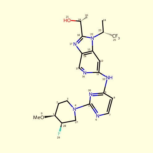 CO[C@H]1CCN(c2nccc(Nc3cc4c(cn3)nc([C@@H](C)O)n4[C@H](C)C(F)(F)F)n2)C[C@H]1F